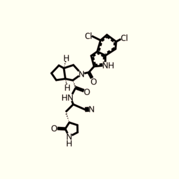 N#CC(C[C@@H]1CCNC1=O)NC(=O)[C@@H]1[C@H]2CCC[C@H]2CN1C(=O)c1cc2c(Cl)cc(Cl)cc2[nH]1